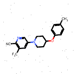 Cc1ccc(OC2CCN(c3cnc(C#N)c(C(F)(F)F)c3)CC2)cc1